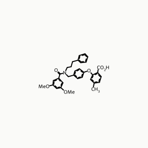 COc1cc(OC)cc(C(=O)N(CCCc2ccccc2)Cc2ccc(Oc3cc(C)ccc3C(=O)O)cc2)c1